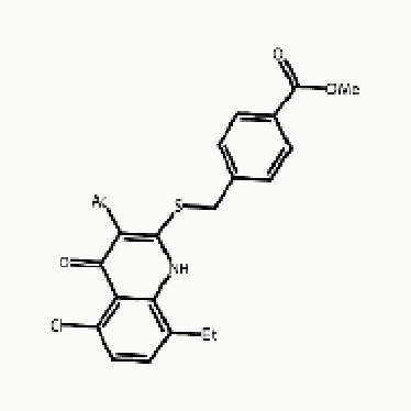 CCc1ccc(Cl)c2c(=O)c(C(C)=O)c(SCc3ccc(C(=O)OC)cc3)[nH]c12